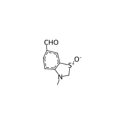 CN1C[S+]([O-])c2cc(C=O)ccc21